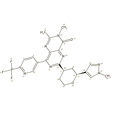 Cc1nc2c(-c3ccc(C(F)(F)F)nc3)nc([C@@H]3CCO[C@H](c4cnn(C)c4)C3)nc2c(=O)n1C